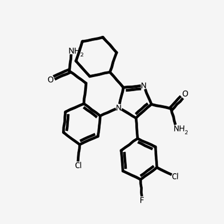 NC(=O)Cc1ccc(Cl)cc1-n1c(C2CCCCC2)nc(C(N)=O)c1-c1ccc(F)c(Cl)c1